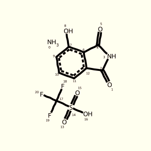 N.O=C1NC(=O)c2c(O)cccc21.O=S(=O)(O)C(F)(F)F